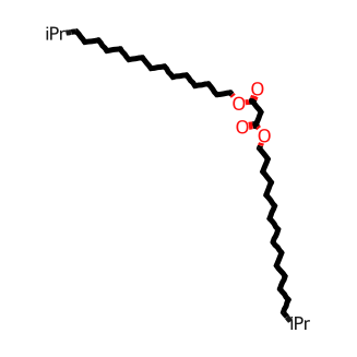 CC(C)CCCCCCCCCCCCCCCOC(=O)CC(=O)OCCCCCCCCCCCCCCCC(C)C